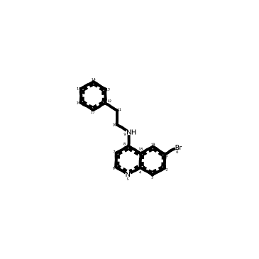 Brc1ccc2nccc(NCCc3ccccc3)c2c1